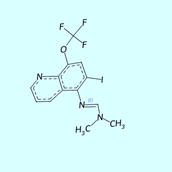 CN(C)/C=N/c1c(I)cc(OC(F)(F)F)c2ncccc12